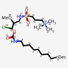 CCCCCCCCCCCCCCCCCCNC(=O)OC(Cl)C(CNS(=O)(=O)CCC[N+](C)(C)C)OC